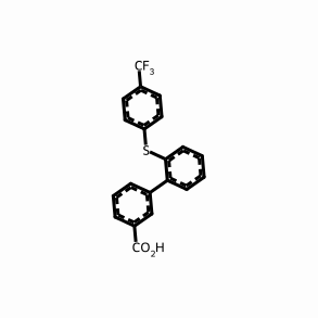 O=C(O)c1cccc(-c2ccccc2Sc2ccc(C(F)(F)F)cc2)c1